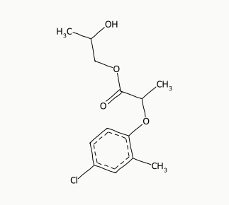 Cc1cc(Cl)ccc1OC(C)C(=O)OCC(C)O